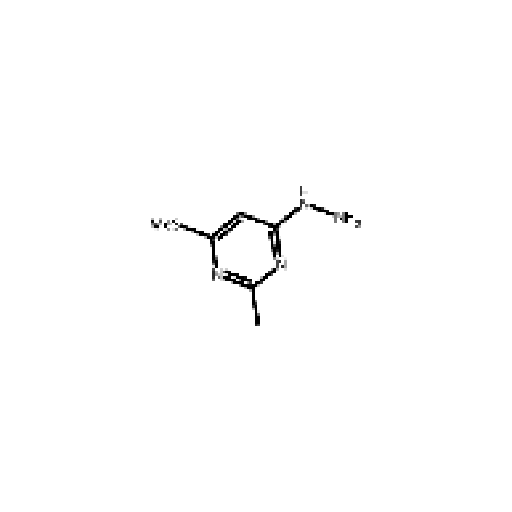 CSc1cc(NN)nc(C)n1